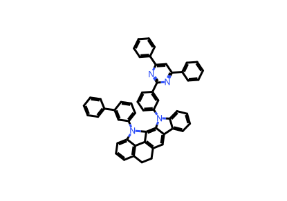 c1ccc(-c2cccc(-n3c4cccc5c4c4c(cc6c7ccccc7n(-c7cccc(-c8nc(-c9ccccc9)cc(-c9ccccc9)n8)c7)c6c43)CC5)c2)cc1